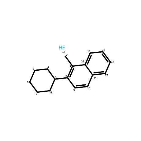 Cc1c(C2CCCCC2)ccc2ccccc12.F